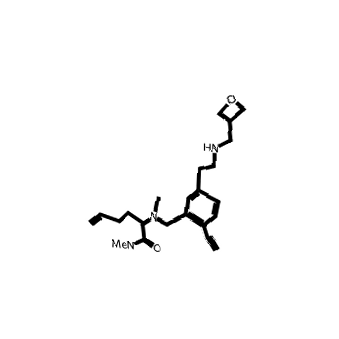 C=CCCC(C(=O)NC)N(C)Cc1cc(CCNCC2COC2)ccc1C=C